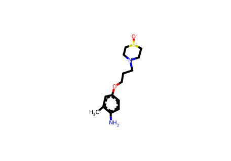 Cc1cc(OCCCN2CC[S+]([O-])CC2)ccc1N